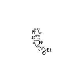 CCC(=O)CN(C)c1ncc(Oc2ccccn2)cn1